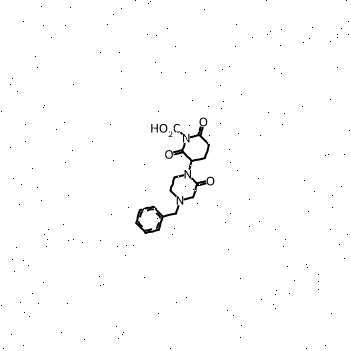 O=C(O)N1C(=O)CCC(N2CCN(Cc3ccccc3)CC2=O)C1=O